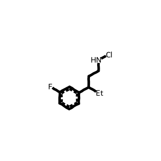 CCC(CCNCl)c1cccc(F)c1